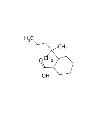 CCCC(C)(C)C1CCCCC1C(=O)O